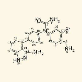 NCc1ccc(N(C(N)=O)c2ccc(-c3cccc4[nH]nc(N)c34)cc2)cc1Br